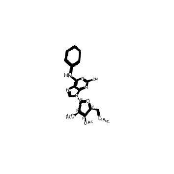 CC(=O)OC[C@@H]1O[C@@H](n2cnc3c(NC4CCCCC4)nc(C#N)nc32)[C@H](OC(C)=O)[C@@H]1OC(C)=O